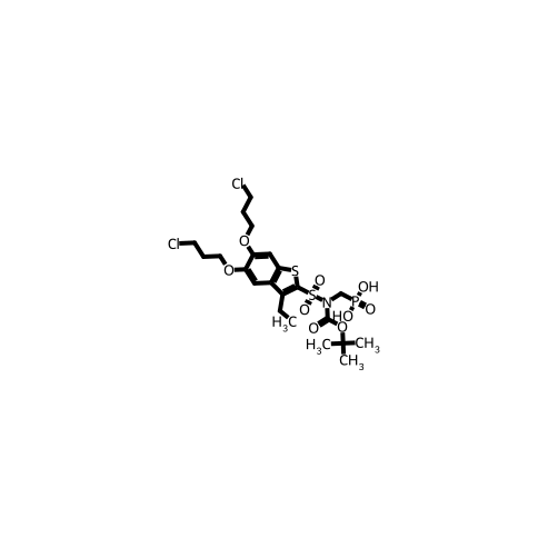 CCc1c(S(=O)(=O)N(CP(=O)(O)O)C(=O)OC(C)(C)C)sc2cc(OCCCCl)c(OCCCCl)cc12